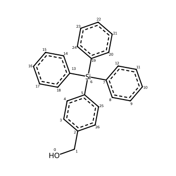 OCc1ccc([Si](c2ccccc2)(c2ccccc2)c2ccccc2)cc1